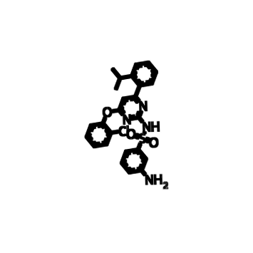 CC(C)c1ccccc1-c1cc(Oc2ccccc2Cl)nc(NS(=O)(=O)c2cccc(N)c2)n1